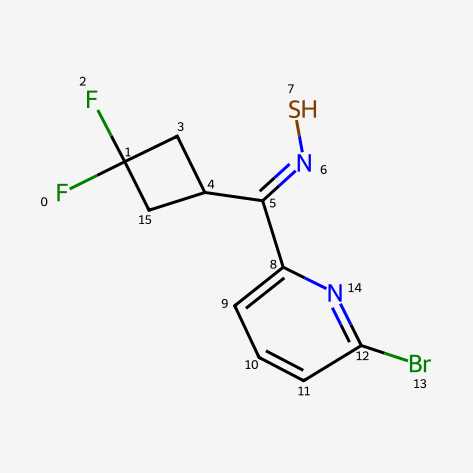 FC1(F)CC(/C(=N\S)c2cccc(Br)n2)C1